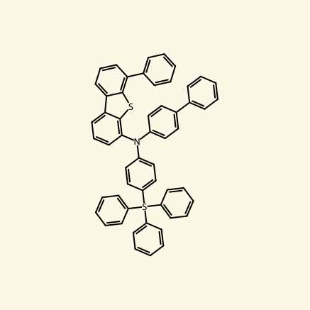 c1ccc(-c2ccc(N(c3ccc(S(c4ccccc4)(c4ccccc4)c4ccccc4)cc3)c3cccc4c3sc3c(-c5ccccc5)cccc34)cc2)cc1